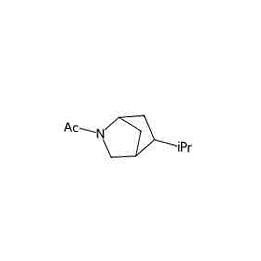 CC(=O)N1CC2CC1CC2C(C)C